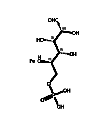 O=C[C@H](O)[C@@H](O)[C@H](O)[C@H](O)COP(=O)(O)O.[Fe]